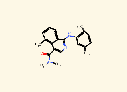 Cc1cccc2c(Nc3cc(C(F)(F)F)ccc3C(F)(F)F)ncc(C(=O)N(C)C)c12